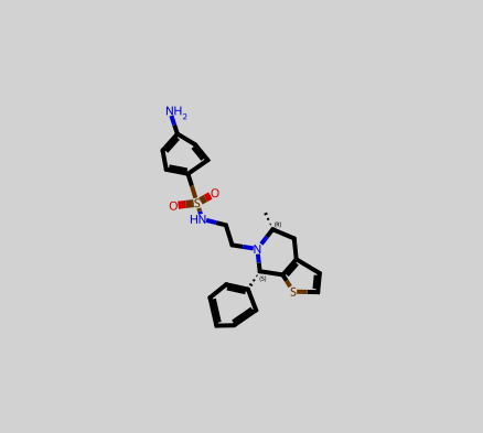 C[C@@H]1Cc2ccsc2[C@H](c2ccccc2)N1CCNS(=O)(=O)c1ccc(N)cc1